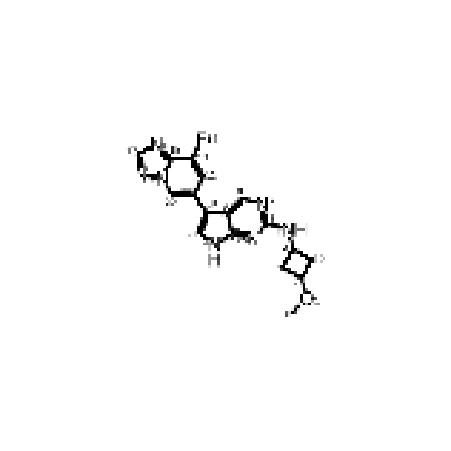 CO[C@H]1C[C@@H](Nc2ncc3c(-c4cc(F)c5ncnn5c4)c[nH]c3n2)C1